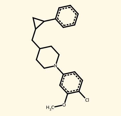 COc1cc(N2CCC(CC3CC3c3ccccc3)CC2)ccc1Cl